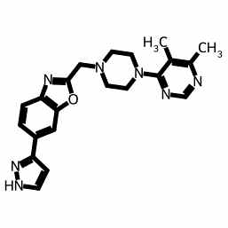 Cc1ncnc(N2CCN(Cc3nc4ccc(-c5cc[nH]n5)cc4o3)CC2)c1C